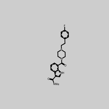 CNC(=O)c1c[nH]c2c(C(=O)N3CCN(CCc4ccc(F)cc4)CC3)cccc12